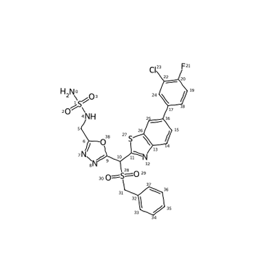 NS(=O)(=O)NCc1nnc(C(c2nc3ccc(-c4ccc(F)c(Cl)c4)cc3s2)S(=O)(=O)Cc2ccccc2)o1